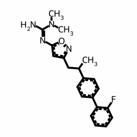 CC(Cc1cc(N=C(N)N(C)C)on1)c1ccc(-c2ccccc2F)cc1